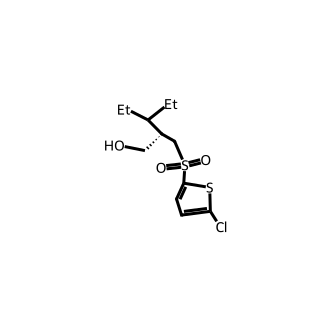 CCC(CC)[C@@H](CO)CS(=O)(=O)c1ccc(Cl)s1